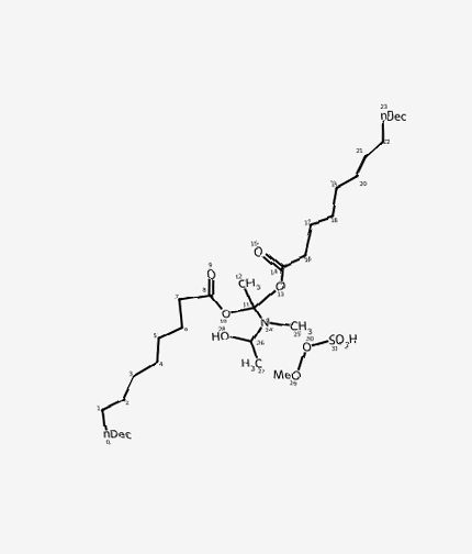 CCCCCCCCCCCCCCCCCC(=O)OC(C)(OC(=O)CCCCCCCCCCCCCCCCC)N(C)C(C)O.COOS(=O)(=O)O